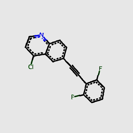 Fc1cccc(F)c1C#Cc1ccc2nccc(Cl)c2c1